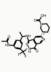 CC(=O)Nc1cc(C(C)Nc2n[nH]c(=O)c3cnc([C@H]4CCCN(C(=O)O)C4)cc23)cc(C(F)(F)F)c1